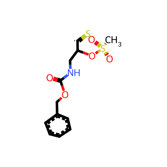 CS(=O)(=O)OC([C]=S)CNC(=O)OCc1ccccc1